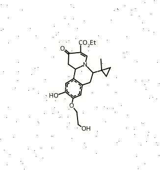 CCOC(=O)C1=CN2C(CC1=O)c1cc(O)c(OCCO)cc1CC2C1(C)CC1